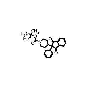 CC(C)(C)OC(=O)N1CCC(C2(c3ccccc3)C(=O)c3ccccc3C2=O)CC1